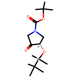 CC(C)(C)OC(=O)N1CC(=O)[C@@H](O[Si](C)(C)C(C)(C)C)C1